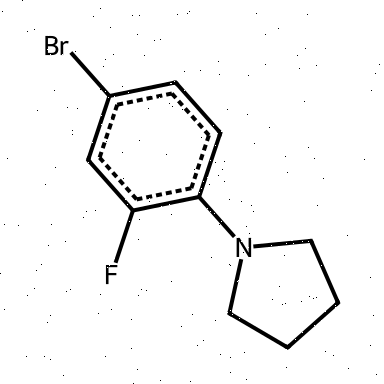 Fc1cc(Br)ccc1N1CCCC1